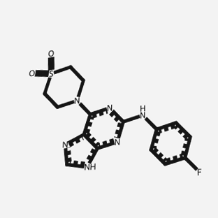 O=S1(=O)CCN(c2nc(Nc3ccc(F)cc3)nc3[nH]cnc23)CC1